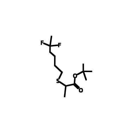 CC(SCCCCC(C)(F)F)C(=O)OC(C)(C)C